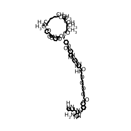 CO[C@H]1CC2CCCC(O2)C(=O)C(=O)N2CCCC[C@H]2C(=O)O[C@H](CC[C@H]2CC[C@H](OC(=O)N3CCc4nc(N5CCN(c6ncc(C(=O)NCCOCCOCCOCCOCCC(=O)N7CCc8cc(Cn9nc(-c%10cnc%11[nH]ccc%11c%10)c%10c(N)ncnc%109)ccc8C7)cn6)CC5)ncc4C3)CC2)CC(=O)[C@H](C)/C=C(\C)[C@@H](O)CC(=O)[C@H](C)C[C@H](C)/C=C/C=C/C=C/1C